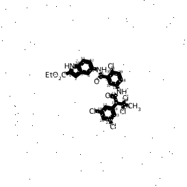 CCOC(=O)c1cc2cc(NC(=O)c3cc(NC(=O)C(c4cc(Cl)cc(Cl)c4)C(C)(Cl)Cl)ccc3Cl)ccc2[nH]1